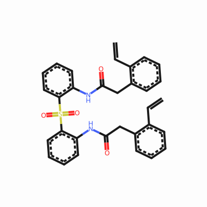 C=Cc1ccccc1CC(=O)Nc1ccccc1S(=O)(=O)c1ccccc1NC(=O)Cc1ccccc1C=C